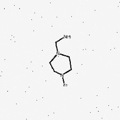 CCN1CCN(C[NH])CC1